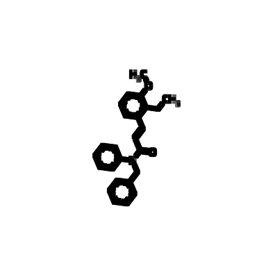 CCc1c(/C=C/C(=O)N(Cc2ccccc2)c2ccccc2)cccc1OC